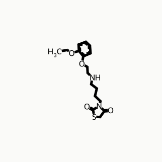 CCOc1ccccc1OCCNCCCCN1C(=O)CSC1=O